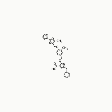 Cc1cc(COc2nn(Cc3ccccc3)cc2C(=O)O)ccc1OCc1nc(-c2ccco2)oc1C